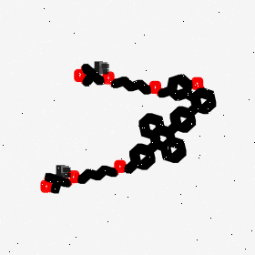 CCC1(COCCCCCOCc2ccc(-c3c4ccccc4c(-c4ccc(-c5cccc6oc7ccc(COCCCCCOCC8(CC)COC8)cc7c56)cc4)c4ccccc34)cc2)COC1